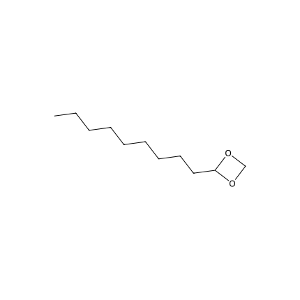 CCCCCCCCCC1OCO1